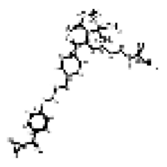 CC(C)(C)N(C(=O)O)C(CCCCNC(N)=O)C(=O)N1CCN(CCCOc2ccc(C(=O)C3CC3)cc2)CC1